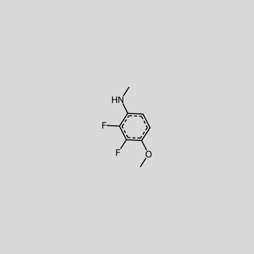 CNc1ccc(OC)c(F)c1F